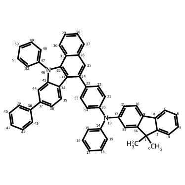 CC1(C)c2ccccc2-c2ccc(N(c3ccccc3)c3ccc(-c4cc5ccccc5c5c4c4ccc(-c6ccccc6)cc4n5-c4ccccc4)cc3)cc21